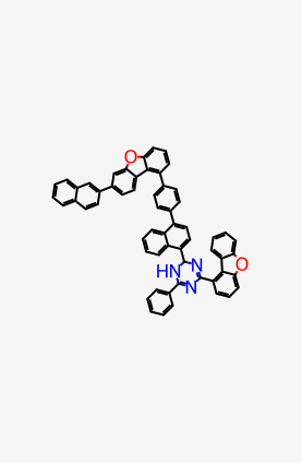 c1ccc(C2=NC(c3cccc4oc5ccccc5c34)=NC(c3ccc(-c4ccc(-c5cccc6oc7cc(-c8ccc9ccccc9c8)ccc7c56)cc4)c4ccccc34)N2)cc1